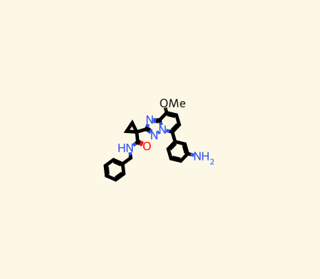 COc1ccc(-c2cccc(N)c2)n2nc(C3(C(=O)NCc4ccccc4)CC3)nc12